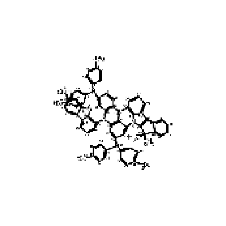 CC(C)(C)c1ccc(N(c2ccc(C(C)(C)C)cc2)c2ccc3c(c2)N(c2cccc4c2oc2cc(C(C)(C)C)ccc24)c2cc(N(c4ccc(C(C)(C)C)cc4)c4ccc(C(C)(C)C)cc4)cc4c2B3c2cccc3c5c(n-4c23)C(C)(C)c2ccccc2-5)cc1